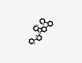 c1ccc(-c2cccc(-n3c4ccc(-c5ccccc5-c5ccccn5)cc4c4ncccc43)n2)nc1